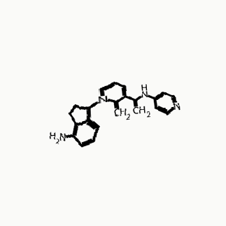 C=C(Nc1ccncc1)C1=CC=CN(C2CCc3c(N)cccc32)C1=C